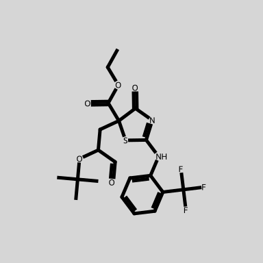 CCOC(=O)C1(CC(C=O)OC(C)(C)C)SC(Nc2ccccc2C(F)(F)F)=NC1=O